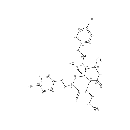 CCC[C@H]1C(=O)N(CCc2ccc(F)cc2)C[C@H]2N1C(=O)CN(C)N2C(=O)NCc1ccc(F)cc1